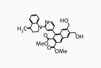 C=C1CCN(c2cc(-c3c(C(=O)OC)c(C(=O)OC)cc4cc(CO)c(CO)cc34)ccn2)c2ccccc21